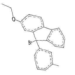 CCOc1ccc2c(c1)C(Br)(c1cccc(C)c1)c1ccccc1-2